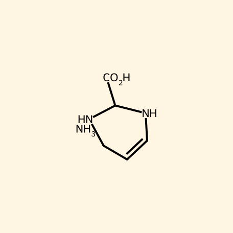 N.O=C(O)C1NC=CCN1